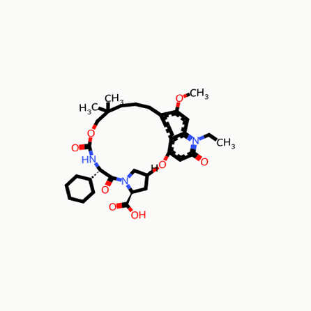 CCn1c(=O)cc2c3cc(c(OC)cc31)CCCC(C)(C)COC(=O)N[C@@H](C1CCCCC1)C(=O)N1C[C@@H](C[C@H]1C(=O)O)O2